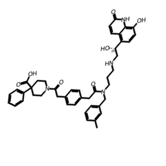 Cc1cccc(CN(CCCNC[C@H](O)c2ccc(O)c3[nH]c(=O)ccc23)C(=O)Cc2ccc(CC(=O)N3CCC(C(=O)O)(c4ccccc4)CC3)cc2)c1